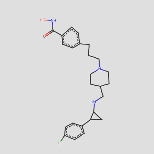 O=C(NO)c1ccc(CCCN2CCC(CNC3CC3c3ccc(F)cc3)CC2)cc1